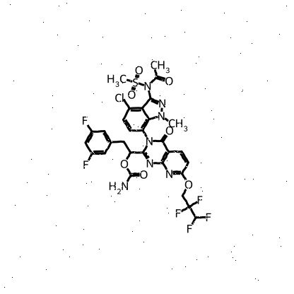 CC(=O)N(c1nn(C)c2c(-n3c(C(Cc4cc(F)cc(F)c4)OC(N)=O)nc4nc(OCC(F)(F)C(F)F)ccc4c3=O)ccc(Cl)c12)S(C)(=O)=O